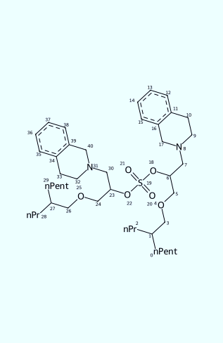 CCCCCC(CCC)COCC(CN1CCc2ccccc2C1)OS(=O)(=O)OC(COCC(CCC)CCCCC)CN1CCc2ccccc2C1